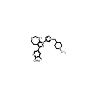 COc1ncc(-c2nn(-c3cnn(CC4CCN(C)CC4)c3)c3c2CCOCN3)cc1F